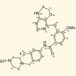 CCN1CCN(Cc2ccc(NC(=O)c3ccc(OC)c(Oc4ncnc5c4OCCN5)c3)cc2C(F)(F)F)CC1